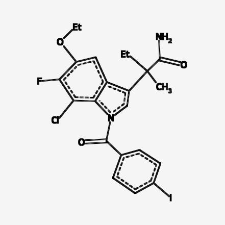 CCOc1cc2c(C(C)(CC)C(N)=O)cn(C(=O)c3ccc(I)cc3)c2c(Cl)c1F